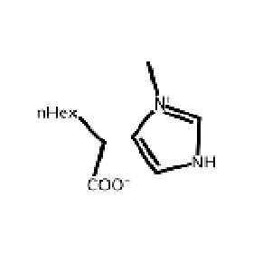 CCCCCCCC(=O)[O-].C[n+]1cc[nH]c1